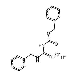 N=C(NCc1ccccc1)NC(=O)OCc1ccccc1.[Cl-].[H+]